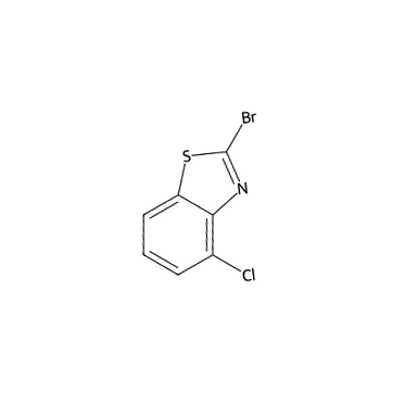 Clc1cccc2sc(Br)nc12